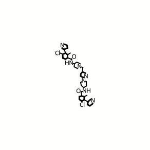 Cc1c(C(=O)NC2CCN(Cc3ccc(N4CCC(NC(=O)c5ccc(Cl)c(-c6cccnc6)c5C)CC4)nc3)CC2)ccc(Cl)c1-c1cccnc1